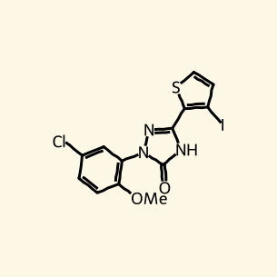 COc1ccc(Cl)cc1-n1nc(-c2sccc2I)[nH]c1=O